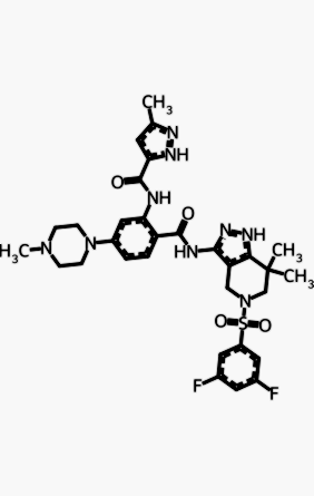 Cc1cc(C(=O)Nc2cc(N3CCN(C)CC3)ccc2C(=O)Nc2n[nH]c3c2CN(S(=O)(=O)c2cc(F)cc(F)c2)CC3(C)C)[nH]n1